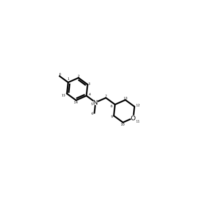 Cc1ccc(N(C)CC2CCOCC2)cc1